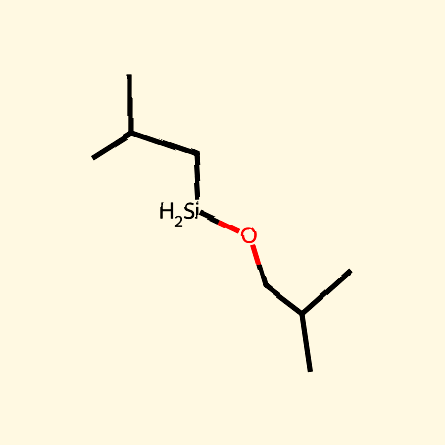 CC(C)CO[SiH2]CC(C)C